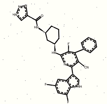 N#Cc1c(-c2c[nH]c3c(F)cc(F)cc23)nc(N[C@@H]2CCC[C@H](NC(=O)c3c[nH]nn3)C2)c(F)c1-c1ccccc1